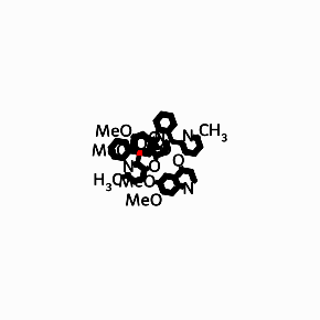 COc1cc2nccc(Oc3ccc(C)nc3C(OC(=O)CC(O)(c3ccccc3)c3nc(C)ccc3Oc3ccnc4cc(OC)c(OC)cc34)c3ccccc3)c2cc1OC